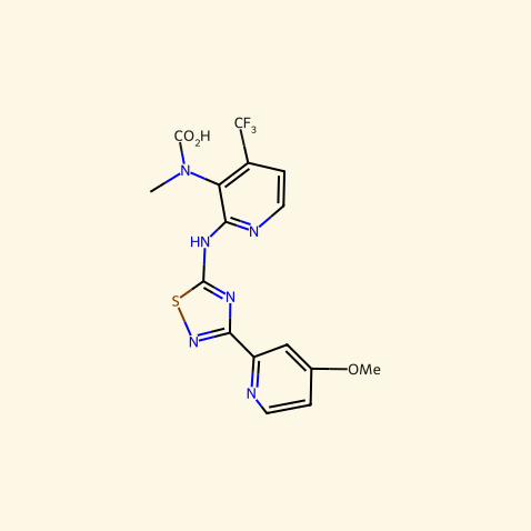 COc1ccnc(-c2nsc(Nc3nccc(C(F)(F)F)c3N(C)C(=O)O)n2)c1